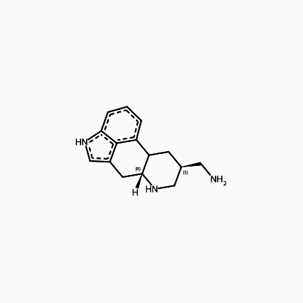 NC[C@H]1CN[C@@H]2Cc3c[nH]c4cccc(c34)C2C1